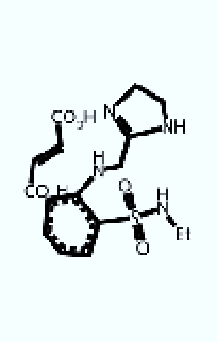 CCNS(=O)(=O)c1ccccc1NCC1=NCCN1.O=C(O)/C=C/C(=O)O